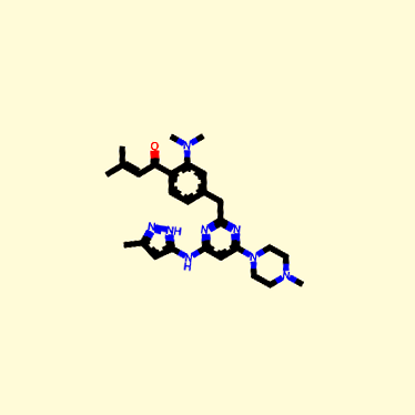 CC(C)=CC(=O)c1ccc(Cc2nc(Nc3cc(C)n[nH]3)cc(N3CCN(C)CC3)n2)cc1N(C)C